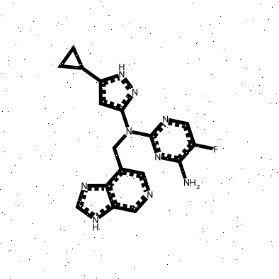 Nc1nc(N(Cc2cncc3[nH]cnc23)c2cc(C3CC3)[nH]n2)ncc1F